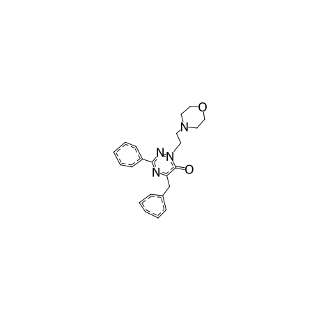 O=c1c(Cc2ccccc2)nc(-c2ccccc2)nn1CCN1CCOCC1